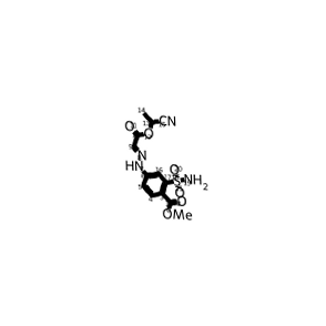 COC(=O)c1ccc(NN=CC(=O)OC(C)C#N)cc1S(N)(=O)=O